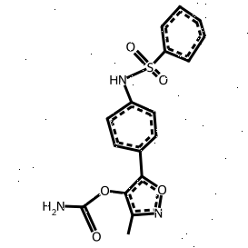 Cc1noc(-c2ccc(NS(=O)(=O)c3ccccc3)cc2)c1OC(N)=O